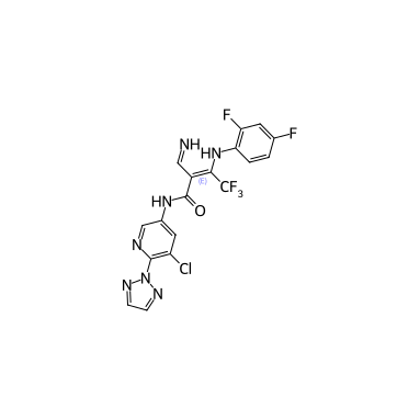 N=C/C(C(=O)Nc1cnc(-n2nccn2)c(Cl)c1)=C(\Nc1ccc(F)cc1F)C(F)(F)F